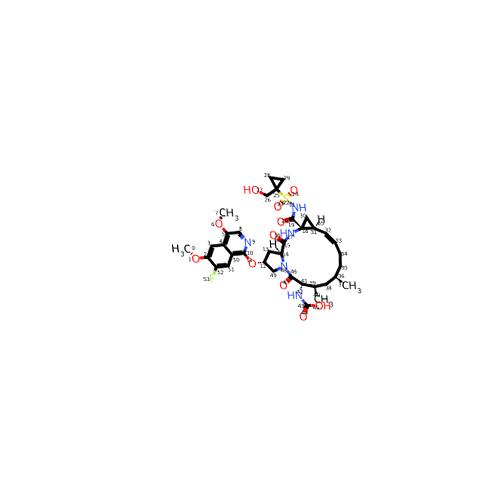 COc1cc2c(OC)cnc(O[C@@H]3C[C@H]4C(=O)N[C@]5(C(=O)NS(=O)(=O)C6(CO)CC6)C[C@H]5/C=C\CC[C@@H](C)C[C@@H](C)[C@H](NC(=O)O)C(=O)N4C3)c2cc1F